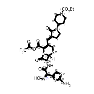 CCOC(=O)N1CCC(N2CCC(=CC3=C(C(=O)OC(=O)C(F)(F)F)N4C(=O)[C@@H](NC(=O)/C(=N\O)c5csc(N)n5)[C@H]4SC3)C2=O)CC1